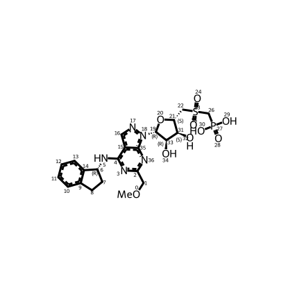 COCc1nc(N[C@@H]2CCc3ccccc32)c2cnn([C@@H]3O[C@H](CS(=O)(=O)CP(=O)(O)O)[C@@H](O)[C@H]3O)c2n1